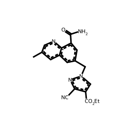 CCOC(=O)c1cn(Cc2cc(C(N)=O)c3ncc(C)cc3c2)nc1C#N